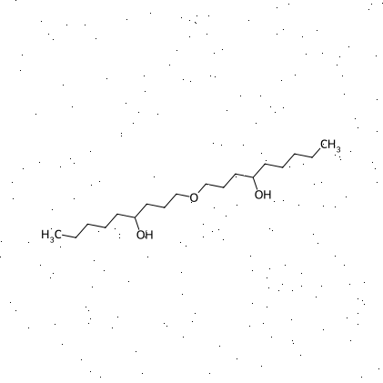 CCCCCC(O)CCCOCCCC(O)CCCCC